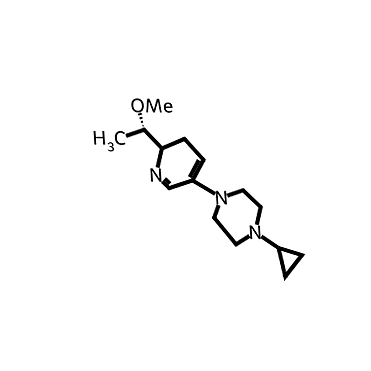 CO[C@@H](C)C1CC=C(N2CCN(C3CC3)CC2)C=N1